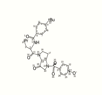 CC(C)CC(NC(=O)c1ccc(C(C)(C)C)cc1)C(=O)N1CCC2C1C(=O)CN2S(=O)(=O)c1cc[n+]([O-])cc1